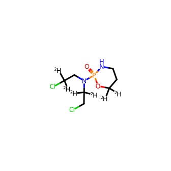 [2H]C([2H])(Cl)CN(C([2H])([2H])CCl)P1(=O)NCCC([2H])([2H])O1